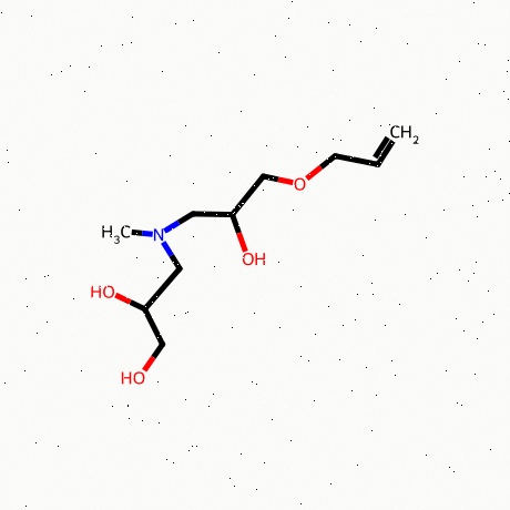 C=CCOCC(O)CN(C)CC(O)CO